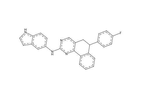 Fc1ccc(C2Cc3cnc(Nc4ccc5[nH]ccc5c4)nc3-c3ccccc32)cc1